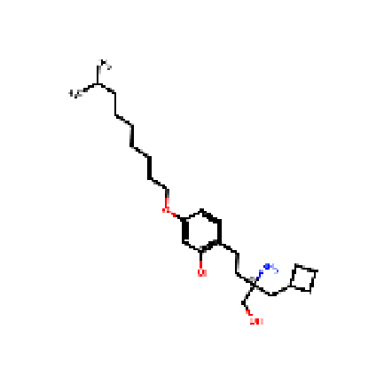 CC(C)CCCCCCCOc1ccc(CC[C@@](N)(CO)CC2CCC2)c(O)c1